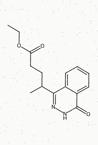 CCOC(=O)CCC(C)c1n[nH]c(=O)c2ccccc12